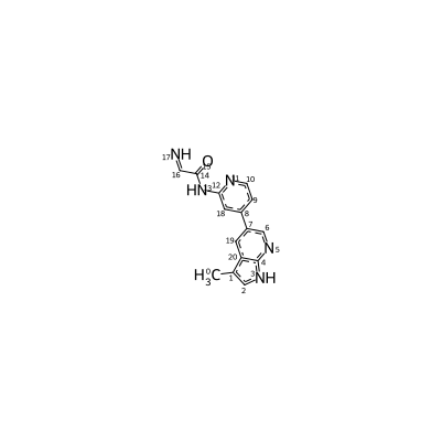 Cc1c[nH]c2ncc(-c3ccnc(NC(=O)C=N)c3)cc12